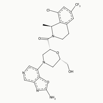 C[C@H]1c2c(Cl)cc(C(F)(F)F)cc2CCN1C(=O)[C@H]1CN(c2cncc3nc(N)oc23)C[C@@H](CO)O1